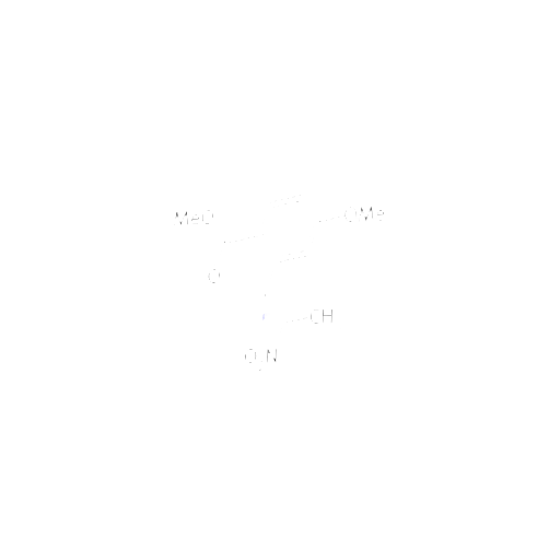 COC(=O)c1ccc(OC)cc1/C=C(\C)[N+](=O)[O-]